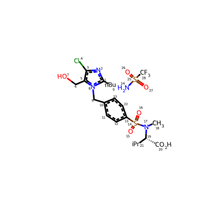 CCCCc1nc(Cl)c(CO)n1Cc1ccc(S(=O)(=O)N(C)[C@H](C(=O)O)C(C)C)cc1.NS(=O)(=O)C(F)(F)F